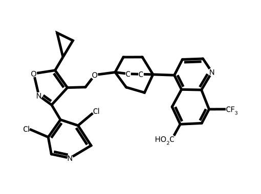 O=C(O)c1cc(C(F)(F)F)c2nccc(C34CCC(OCc5c(-c6c(Cl)cncc6Cl)noc5C5CC5)(CC3)CC4)c2c1